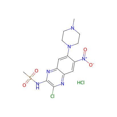 CN1CCN(c2cc3nc(NS(C)(=O)=O)c(Cl)nc3cc2[N+](=O)[O-])CC1.Cl